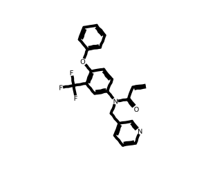 C=CC(=O)N(Cc1cccnc1)c1ccc(Oc2ccccc2)c(C(F)(F)F)c1